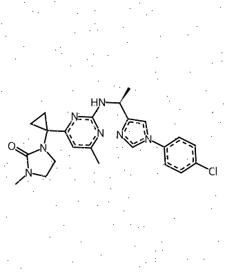 Cc1cc(C2(N3CCN(C)C3=O)CC2)nc(N[C@@H](C)c2cn(-c3ccc(Cl)cc3)cn2)n1